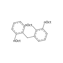 CCCCCCCCc1ccccc1Cc1cccc(CCCCCCCC)c1CCCCCCCC